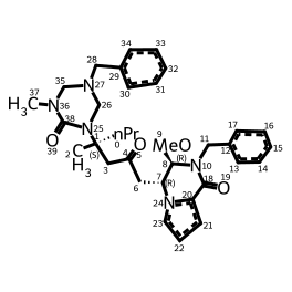 CCC[C@@](C)(CC(=O)C[C@@H]1[C@@H](OC)N(Cc2ccccc2)C(=O)c2cccn21)N1CN(Cc2ccccc2)CN(C)C1=O